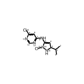 CC(C)C1C=C(Nc2cc(Cl)ncn2)N(Cl)N1